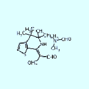 CC1(C)NC(=C(C=O)C=O)c2sccc2C1(C)C.CN(C)C=O